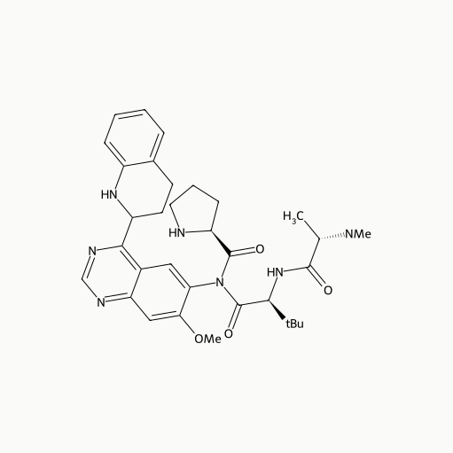 CN[C@@H](C)C(=O)N[C@H](C(=O)N(C(=O)[C@@H]1CCCN1)c1cc2c(C3CCc4ccccc4N3)ncnc2cc1OC)C(C)(C)C